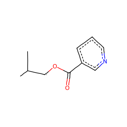 CC(C)[CH]OC(=O)c1cccnc1